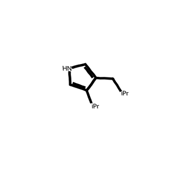 CC(C)Cc1c[nH]cc1C(C)C